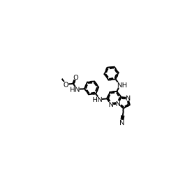 COC(=O)Nc1cccc(Nc2cc(Nc3ccccc3)c3ncc(C#N)n3n2)c1